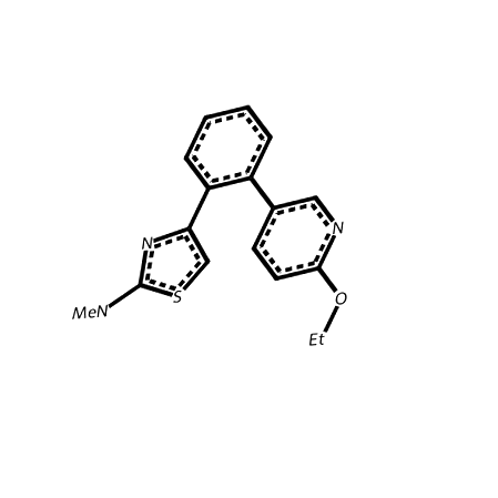 CCOc1ccc(-c2ccccc2-c2csc(NC)n2)cn1